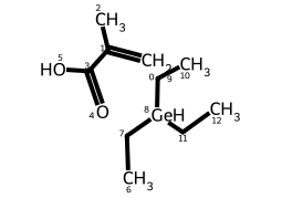 C=C(C)C(=O)O.C[CH2][GeH]([CH2]C)[CH2]C